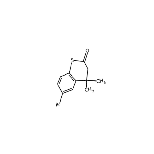 CC1(C)CC(=O)Sc2ccc(Br)cc21